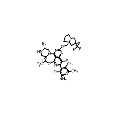 CC[C@@H]1CN2c3nc(OC[C@@]45CCCN4CC4(CC4(F)F)C5)nc4c(F)c(-c5c(F)c(N)nc(C)c5C(F)(F)F)nc(c34)OC(C(F)(F)F)[C@@H]2CN1